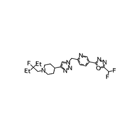 CCC(F)(CC)CN1CCC(c2cn(Cc3ccc(-c4nnc(C(F)F)o4)cn3)nn2)CC1